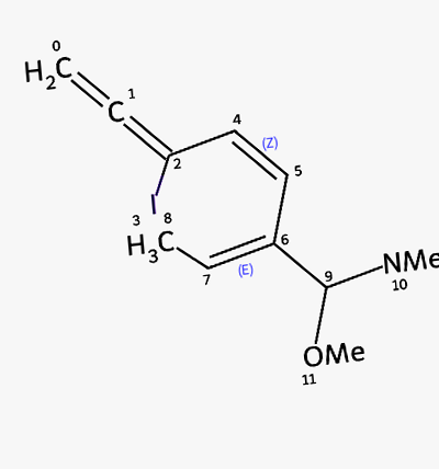 C=C=C(I)/C=C\C(=C/C)C(NC)OC